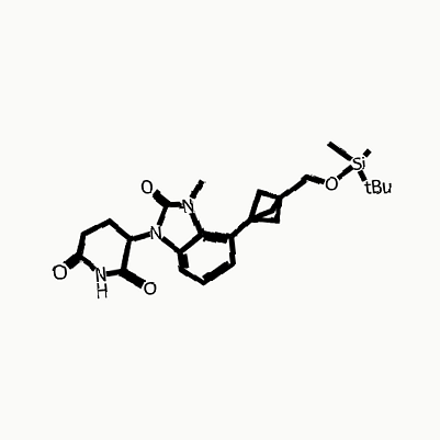 Cn1c(=O)n(C2CCC(=O)NC2=O)c2cccc(C34CC(CO[Si](C)(C)C(C)(C)C)(C3)C4)c21